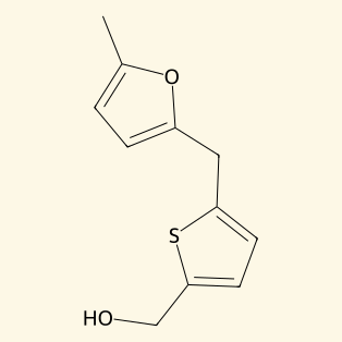 Cc1ccc(Cc2ccc(CO)s2)o1